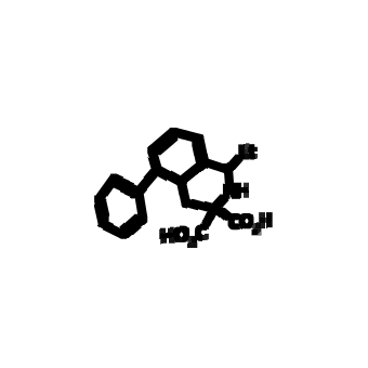 CCC1NC(C(=O)O)(C(=O)O)CC2C1=CC=CC2c1ccccc1